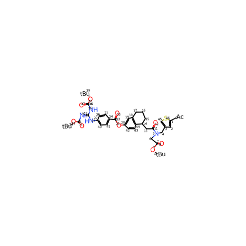 CC(=O)c1cc(CN(CC(=O)OC(C)(C)C)C(=O)CC2CCCc3cc(OC(=O)c4ccc(N/C(=N\C(=O)OC(C)(C)C)NC(=O)OC(C)(C)C)cc4)ccc32)cs1